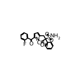 Cn1c(CC(CO)(c2ccccc2)S(N)(=O)=O)ccc1C(=O)c1ccccc1F